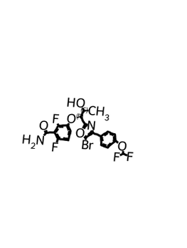 C[C@H](O)[C@@H](Oc1ccc(F)c(C(N)=O)c1F)c1nc(-c2ccc(OC(F)F)cc2)c(Br)o1